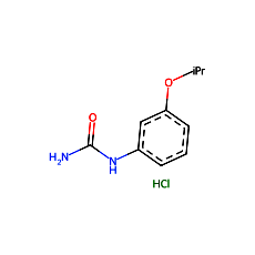 CC(C)Oc1cccc(NC(N)=O)c1.Cl